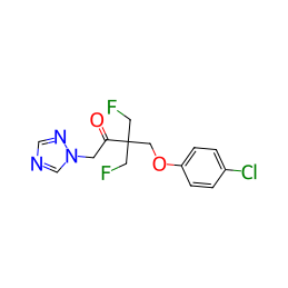 O=C(Cn1cncn1)C(CF)(CF)COc1ccc(Cl)cc1